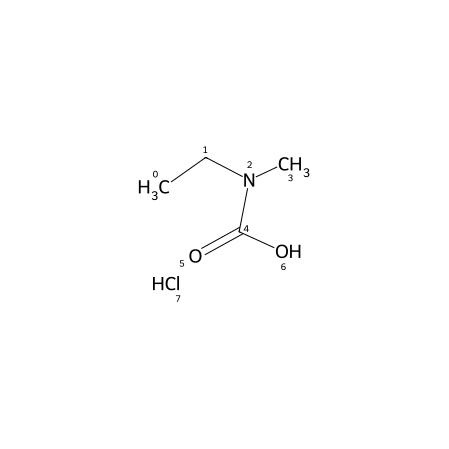 CCN(C)C(=O)O.Cl